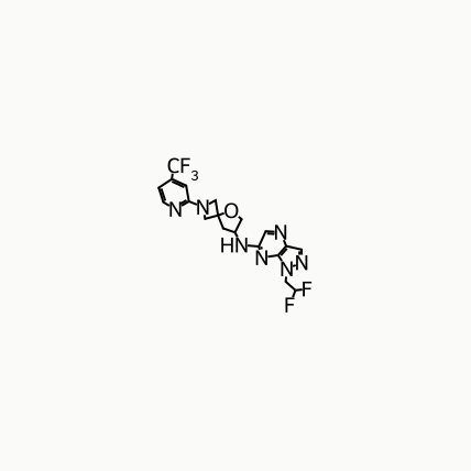 FC(F)Cn1ncc2ncc(NC3COC4(C3)CN(c3cc(C(F)(F)F)ccn3)C4)nc21